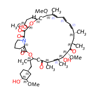 CO[C@H]1C[C@@H]2CC[C@@H](C)[C@@](O)(O2)C(=O)C(=O)N2CCCC[C@H]2C(=O)OC([C@H](C)C[C@@H]2CC[C@@H](O)[C@H](OC)C2)CC(=O)[C@H](C)/C=C(\C)[C@@H](O)[C@@H](OC)C(=O)[C@H](C)C[C@@H](C)\C=C/C=C/C=C/1C